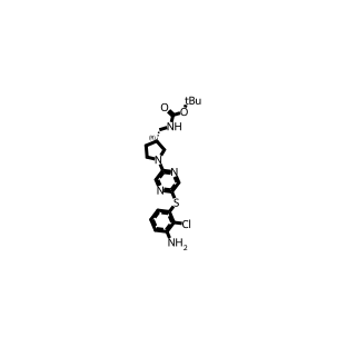 CC(C)(C)OC(=O)NC[C@H]1CCN(c2cnc(Sc3cccc(N)c3Cl)cn2)C1